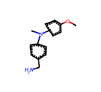 COc1ccc(N(C)c2ccc(CN)cc2)cc1